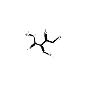 CC=C(C(=O)CBr)C(=O)OCCCC